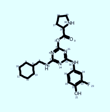 O=C(Oc1nc(NCC2CCCCC2)nc(Nc2ccc(O)c(F)c2)n1)C1CCCN1